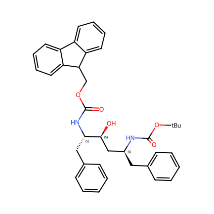 CC(C)(C)OC(=O)N[C@@H](Cc1ccccc1)C[C@H](O)[C@H](Cc1ccccc1)NC(=O)OCC1c2ccccc2-c2ccccc21